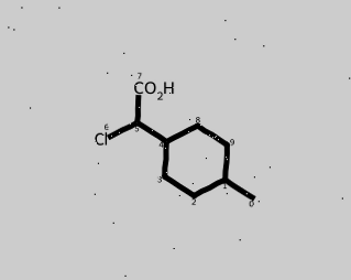 CC1CCC(C(Cl)C(=O)O)CC1